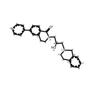 O=C1c2ccc(-c3ccncc3)cc2CCN1C[C@H](O)CN1CCc2ccccc2C1